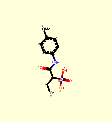 COc1ccc(NC(=O)C(CC(C)C)P(=O)(O)O)cc1